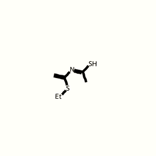 C=C(/N=C(\C)S)SCC